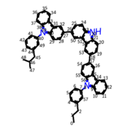 CCCc1cccc(-n2c3ccccc3c3cc(-c4ccc5[nH]c6ccc(-c7ccc8c(c7)c7ccccc7n8-c7cccc(CC(C)C)c7)cc6c5c4)ccc32)c1